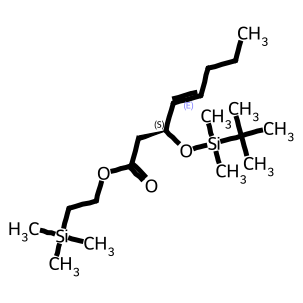 CCC/C=C/[C@H](CC(=O)OCC[Si](C)(C)C)O[Si](C)(C)C(C)(C)C